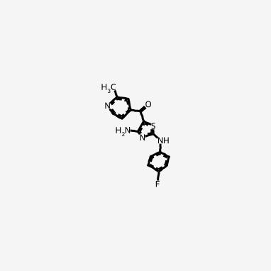 Cc1cc(C(=O)c2sc(Nc3ccc(F)cc3)nc2N)ccn1